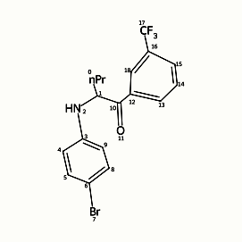 CCCC(Nc1ccc(Br)cc1)C(=O)c1cccc(C(F)(F)F)c1